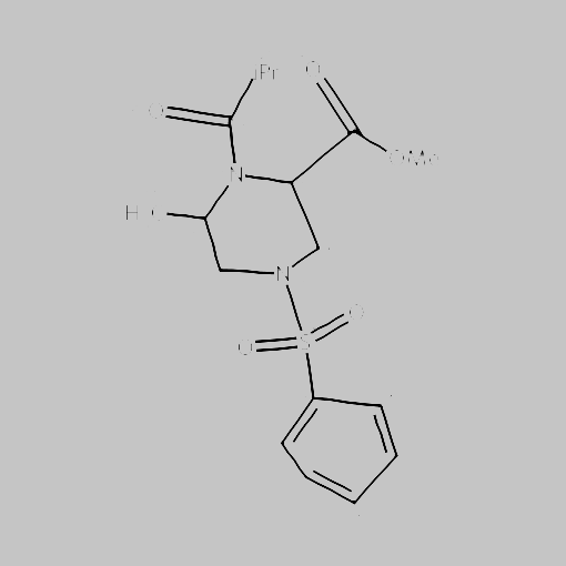 COC(=O)C1CN(S(=O)(=O)c2ccccc2)CC(C)N1C(=O)C(C)C